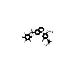 COc1cc([C@@H]2C[C@H]2C(F)(F)F)c(F)cc1N1CC=Cc2cc(S(=O)(=O)Oc3c(F)c(F)c(F)c(F)c3F)ccc21